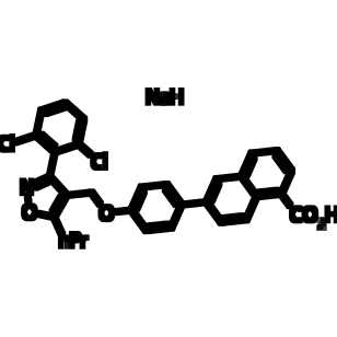 CCCc1onc(-c2c(Cl)cccc2Cl)c1COc1ccc(-c2ccc3c(C(=O)O)cccc3c2)cc1.[NaH]